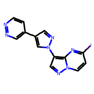 Ic1ccn2ncc(-n3cc(-c4ccnnc4)cn3)c2n1